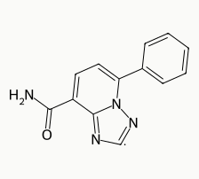 NC(=O)c1ccc(-c2ccccc2)n2n[c]nc12